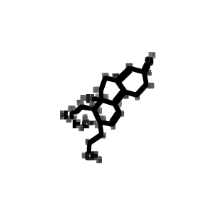 CCC[C@]1(C)C=CC2=C3CCC(=O)C=C3CC[C@H]2[C@@H]1CC